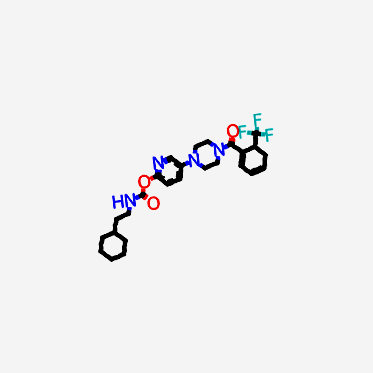 O=C(NCCC1CCCCC1)Oc1ccc(N2CCN(C(=O)C3=CC=CCC3C(F)(F)F)CC2)cn1